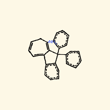 NC1=C2C(=CC=CC1)c1ccccc1C2(c1ccccc1)c1ccccc1